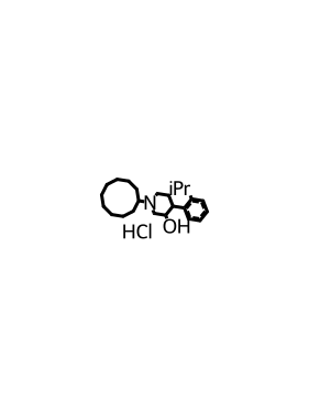 CC(C)c1ccccc1C1CCN(C2CCCCCCCCC2)CC1O.Cl